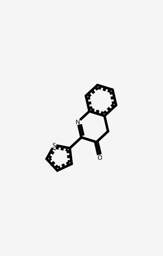 O=C1Cc2ccccc2N=C1c1cccs1